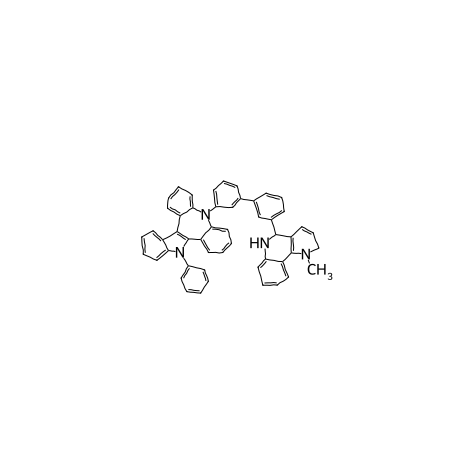 CN1CC=CC2=C1c1ccccc1NC2c1cccc(-c2cccc(N3c4ccccc4-c4c(n(-c5ccccc5)c5ccccc45)-c4ccccc43)c2)c1